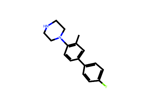 Cc1cc(-c2ccc(F)cc2)ccc1N1CCNCC1